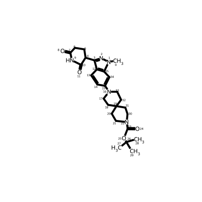 Cn1nc(C2CCC(=O)NC2=O)c2ccc(N3CCC4(CCN(C(=O)OC(C)(C)C)CC4)CC3)cc21